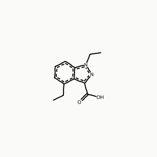 CCc1cccc2c1c(C(=O)O)nn2CC